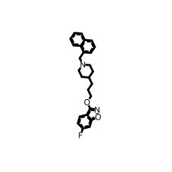 Fc1ccc2c(OCCCC3CCN(Cc4cccc5ccccc45)CC3)noc2c1